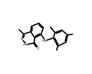 Cc1cc(C)c(Nc2cccc3c(C)n[nH]c(=O)c23)c(C)c1